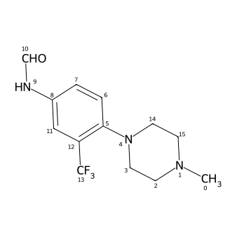 CN1CCN(c2ccc(NC=O)cc2C(F)(F)F)CC1